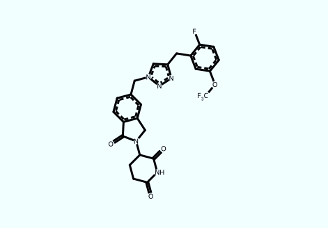 O=C1CCC(N2Cc3cc(Cn4cc(Cc5cc(OC(F)(F)F)ccc5F)nn4)ccc3C2=O)C(=O)N1